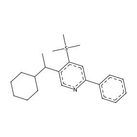 CC(c1cnc(-c2ccccc2)cc1S(C)(C)C)C1CCCCC1